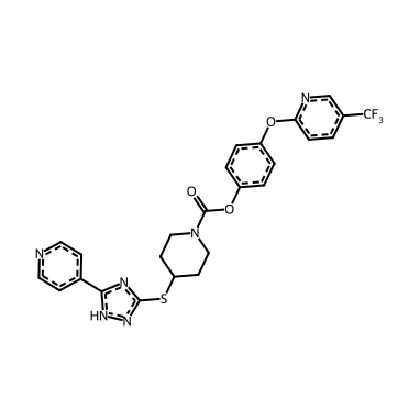 O=C(Oc1ccc(Oc2ccc(C(F)(F)F)cn2)cc1)N1CCC(Sc2n[nH]c(-c3ccncc3)n2)CC1